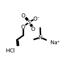 C=CCOS(=O)(=O)[O-].CN(C)C.Cl.[Na+]